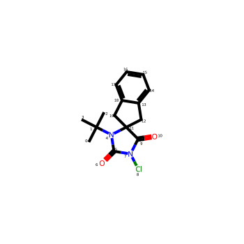 CC(C)(C)N1C(=O)N(Cl)C(=O)C12Cc1ccccc1C2